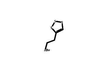 CCCCCCC1=CSSS1